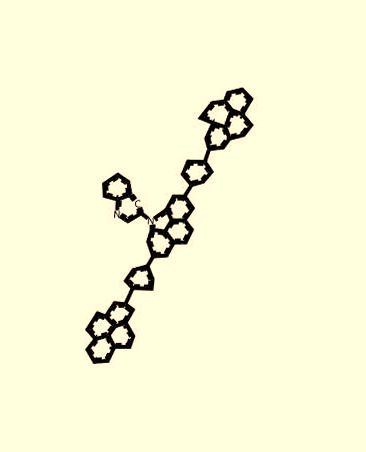 c1ccc2ncc(-n3c4cc(-c5ccc(-c6cc7ccc8cccc9ccc(c6)c7c89)cc5)cc5ccc6cc(-c7ccc(-c8cc9ccc%10cccc%11ccc(c8)c9c%10%11)cc7)cc3c6c54)cc2c1